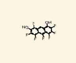 Oc1c(F)c(F)c2c(F)c3c(F)c(F)c(F)c(O)c3cc2c1F